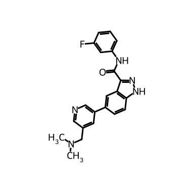 CN(C)Cc1cncc(-c2ccc3[nH]nc(C(=O)Nc4cccc(F)c4)c3c2)c1